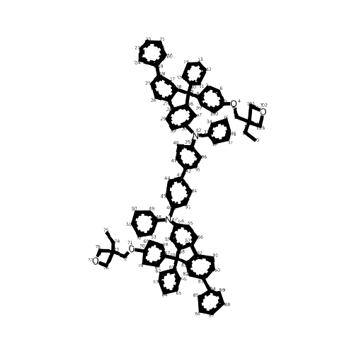 CCC1(COc2ccc(C3(c4ccccc4)c4cc(-c5ccccc5)ccc4-c4ccc(N(c5ccccc5)c5ccc(-c6ccc(N(c7ccccc7)c7ccc8c(c7)C(c7ccccc7)(c7ccc(OCC9(CC)COC9)cc7)c7cc(-c9ccccc9)ccc7-8)cc6)cc5)cc43)cc2)COC1